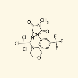 CN1C(=O)C2N(C(N3CCOCC3)C(Cl)(Cl)Cl)[N+]2(c2cccc(C(F)(F)F)c2)C1=O